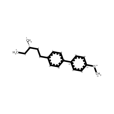 CC[C@H](C)CCc1ccc(-c2ccc(OC)cc2)cc1